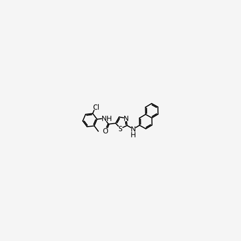 Cc1cccc(Cl)c1NC(=O)c1cnc(Nc2ccc3ccccc3c2)s1